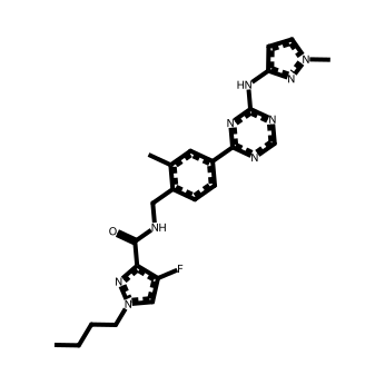 CCCCn1cc(F)c(C(=O)NCc2ccc(-c3ncnc(Nc4ccn(C)n4)n3)cc2C)n1